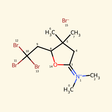 C[N+](C)=C1CC(C)(C)C(CC(Br)(Br)Br)O1.[Br-]